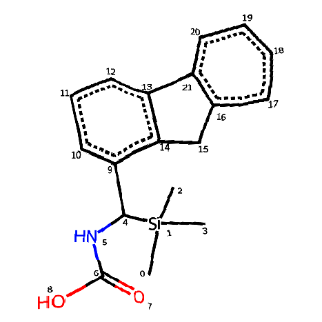 C[Si](C)(C)C(NC(=O)O)c1cccc2c1Cc1ccccc1-2